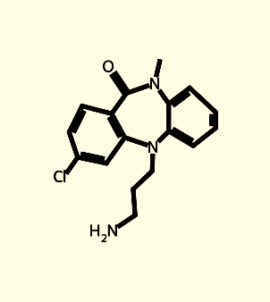 CN1C(=O)c2ccc(Cl)cc2N(CCCN)c2ccccc21